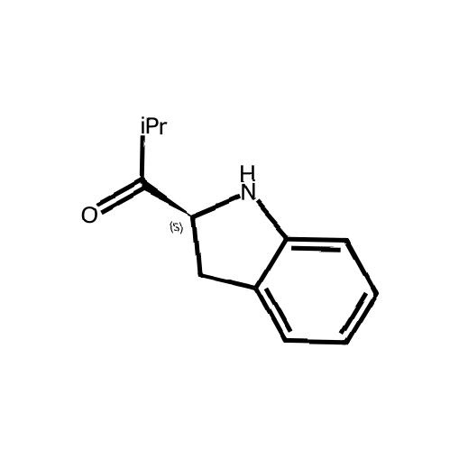 CC(C)C(=O)[C@@H]1Cc2ccccc2N1